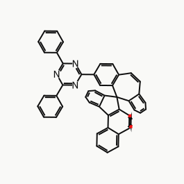 C1=Cc2ccc(-c3nc(-c4ccccc4)nc(-c4ccccc4)n3)cc2C2(c3ccccc31)c1ccccc1-c1c2c2ccccc2c2ccccc12